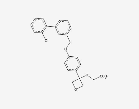 O=C(O)COC1(c2ccc(OCc3cccc(-c4ccccc4Cl)c3)cc2)COC1